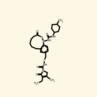 CCC1=C(C)CN(C(=O)NCCc2ccc3c(c2)CCCCCC(=O)OB3NC(=O)NC2CCC(C)CC2)C1=O